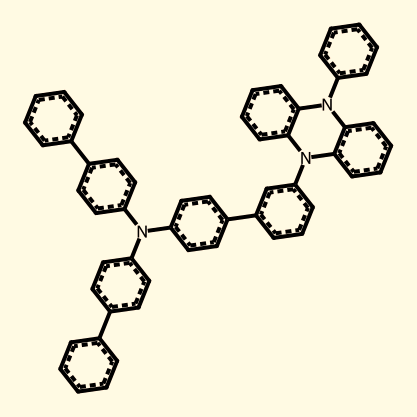 c1ccc(-c2ccc(N(c3ccc(-c4ccccc4)cc3)c3ccc(-c4cccc(N5c6ccccc6N(c6ccccc6)c6ccccc65)c4)cc3)cc2)cc1